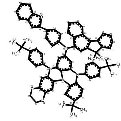 CC(C)(C)c1ccc(N2c3ccc(C(C)(C)C)cc3B3c4cc5c(cc4N(c4ccc(C(C)(C)C)cc4)c4cc(N(c6ccc(-c7cc8ccccc8o7)cc6)c6cc7c(c8ccccc68)-c6ccccc6C7(C)C)cc2c43)OCCO5)cc1